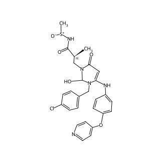 C[C@@H](CN1C(=O)C=C(Nc2ccc(Oc3ccncc3)cc2)N(Cc2ccc(Cl)cc2)C1O)C(=O)N[S+](C)[O-]